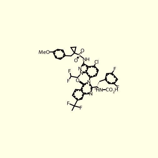 COc1ccc(CC2(S(=O)(=O)Nc3nn(CC(F)F)c4c(-n5c([C@H](Cc6cc(F)cc(F)c6)NC(=O)O)nc6cc(C(C)(F)F)ccc6c5=O)ccc(Cl)c34)CC2)cc1